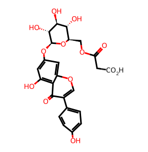 O=C(O)CC(=O)OC[C@H]1O[C@@H](Oc2cc(O)c3c(=O)c(-c4ccc(O)cc4)coc3c2)[C@H](O)[C@@H](O)[C@@H]1O